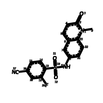 Cn1c(=O)ccc2cc(NS(=O)(=O)c3ccc(C#N)cc3F)ccc21